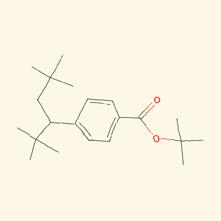 CC(C)(C)CC(c1ccc(C(=O)OC(C)(C)C)cc1)C(C)(C)C